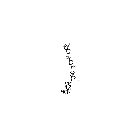 CC(C)(C#N)c1ccc(NCC#Cc2cc3cc(CNC4CCN(C(=O)CN5CCC6(CCNC6)CC5)CC4)ccc3n2CC(F)(F)F)cn1